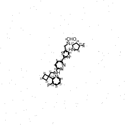 O=CN(Cc1cnc(-c2ccc(NCC3(c4ncccc4F)CCC3)nn2)s1)[C@@H]1C[C@@H](F)CN1